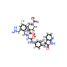 CNCc1cc(F)ccc1CN(CC(=O)Nc1ccc2c(c1)C[C@@]1(C2)C(=O)Nc2ncccc21)C(=O)C1(C)CCN(C(C)=O)CC1